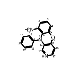 Nc1cccc2c1N(c1ccccc1)c1cnccc1O2